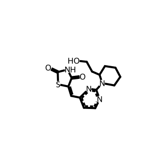 O=C1NC(=O)/C(=C\c2ccnc(N3CCCCC3CCO)n2)S1